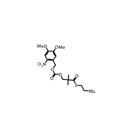 COc1cc(COC(=O)OCC(C)(C)C(=O)SCCC(C)(C)C)c([N+](=O)[O-])cc1OC